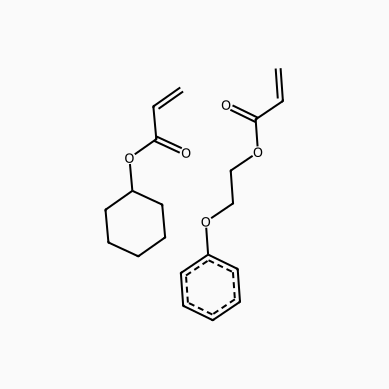 C=CC(=O)OC1CCCCC1.C=CC(=O)OCCOc1ccccc1